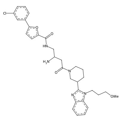 COCCCn1c(C2CCCN(C(=O)CC(N)CNC(=O)c3ccc(-c4cccc(Cl)c4)o3)C2)nc2ccccc21